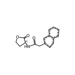 O=C(Cc1ccc2ccccc2c1)N[C@H]1CCOC1=O